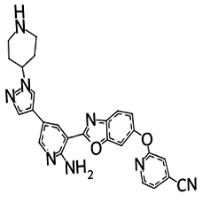 N#Cc1ccnc(Oc2ccc3nc(-c4cc(-c5cnn(C6CCNCC6)c5)cnc4N)oc3c2)c1